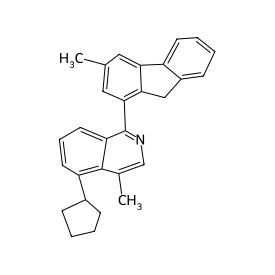 Cc1cc2c(c(-c3ncc(C)c4c(C5CCCC5)cccc34)c1)Cc1ccccc1-2